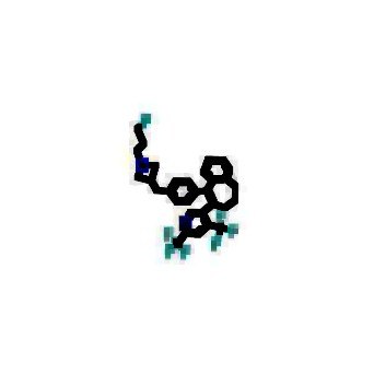 FCCCN1CC(Cc2ccc(C3=C(c4cnc(C(F)(F)F)cc4C(F)(F)F)CCCc4ccccc43)cc2)C1